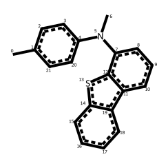 Cc1ccc(N(C)c2cccc3c2sc2ccccc23)cc1